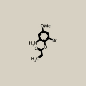 C=CC(=O)Oc1c(N)cc(OC)cc1Br